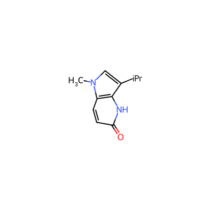 CC(C)c1cn(C)c2ccc(=O)[nH]c12